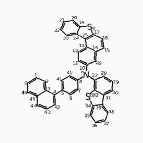 c1ccc2c(-c3ccc(N(c4ccc5c(ccc6sc7ccccc7c65)c4)c4cccc5c4sc4ccccc45)cc3)cccc2c1